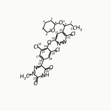 CCC(OC1CCCCO1)c1cc(Oc2c(Cl)cc(-c3nn(C)c(=O)[nH]c3=O)cc2Cl)nnc1Cl